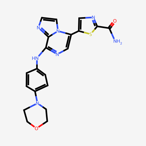 NC(=O)c1ncc(-c2cnc(Nc3ccc(N4CCOCC4)cc3)c3nccn23)s1